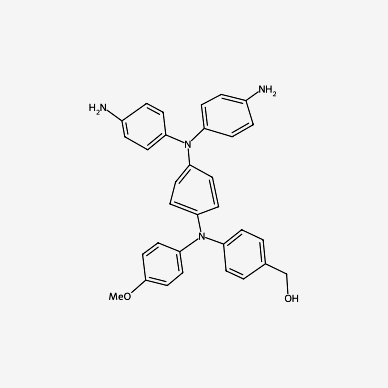 COc1ccc(N(c2ccc(CO)cc2)c2ccc(N(c3ccc(N)cc3)c3ccc(N)cc3)cc2)cc1